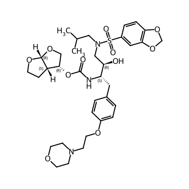 CC(C)CN(C[C@@H](O)[C@H](Cc1ccc(OCCN2CCOCC2)cc1)NC(=O)O[C@H]1CO[C@H]2OCC[C@H]21)S(=O)(=O)c1ccc2c(c1)OCO2